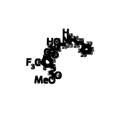 COC(=O)CSc1cc(C(F)(F)F)cc(S(=O)(=O)N(C)C[C@H](O)CNC(C)(C)CCCc2ccccc2)c1